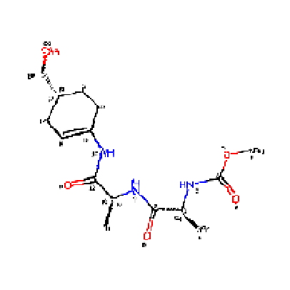 CC(C)[C@H](NC(=O)OC(C)(C)C)C(=O)N[C@@H](C)C(=O)NC1=CC[C@H](CO)CC1